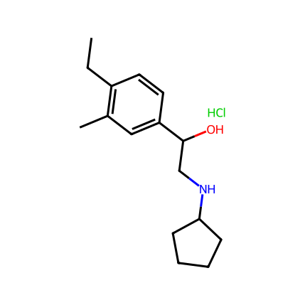 CCc1ccc(C(O)CNC2CCCC2)cc1C.Cl